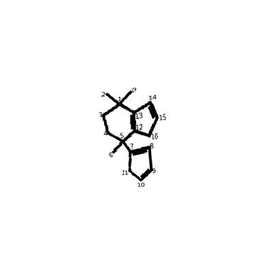 CC1(C)CCC(C)(C2=CC=CC2)C2=C1C=CC2